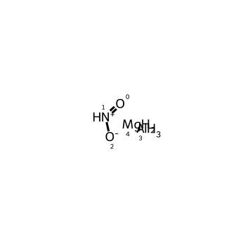 O=[NH+][O-].[AlH3].[MgH2]